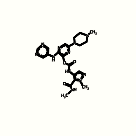 CNC(=O)c1c(NC(=O)Oc2nc(N3CCN(C)CC3)cnc2Nc2cncnc2)cnn1C